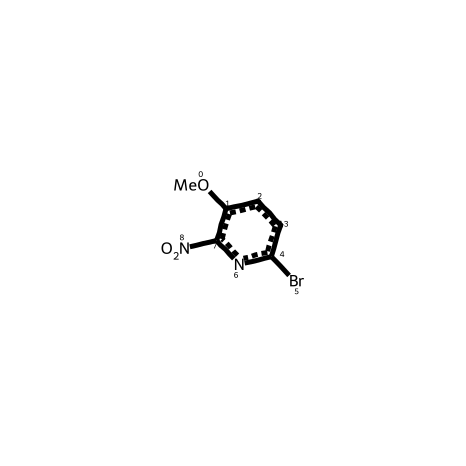 COc1c[c]c(Br)nc1[N+](=O)[O-]